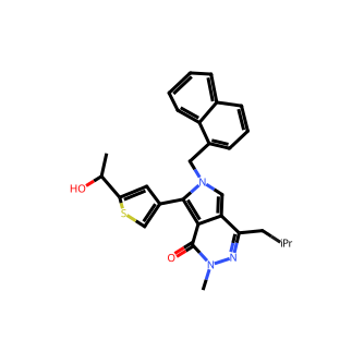 CC(C)Cc1nn(C)c(=O)c2c(-c3csc(C(C)O)c3)n(Cc3cccc4ccccc34)cc12